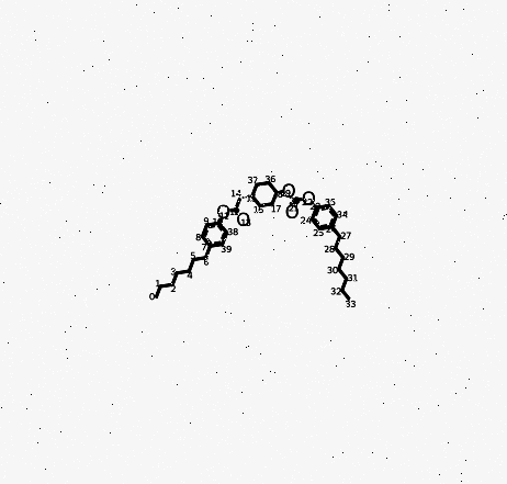 CCCCCCCc1ccc(OC(=O)C[C@H]2CC[C@H](OC(=O)Oc3ccc(CCCCCCC)cc3)CC2)cc1